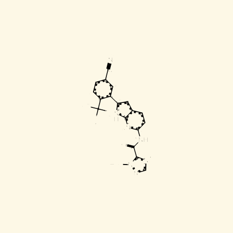 Cn1ncnc1C(=O)Nc1ccc2cc(-c3cc(C#N)ccc3C(F)(F)F)[nH]c2n1